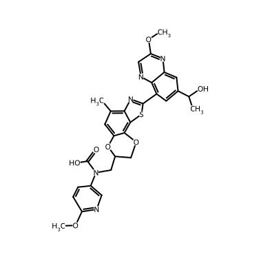 COc1ccc(N(CC2COc3c(cc(C)c4nc(-c5cc(C(C)O)cc6nc(OC)cnc56)sc34)O2)C(=O)O)cn1